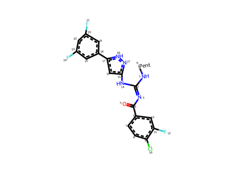 CCCC(C)N/C(=N/C(=O)c1ccc(Cl)c(F)c1)Nc1cc(-c2cc(F)cc(F)c2)[nH]n1